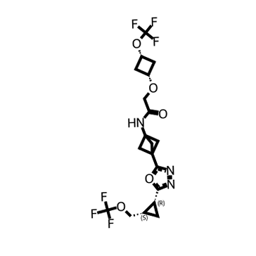 O=C(CO[C@H]1C[C@@H](OC(F)(F)F)C1)NC12CC(c3nnc([C@@H]4C[C@@H]4COC(F)(F)F)o3)(C1)C2